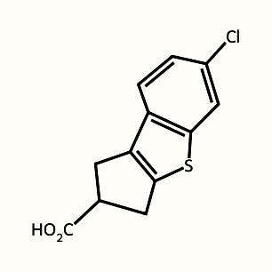 O=C(O)C1Cc2sc3cc(Cl)ccc3c2C1